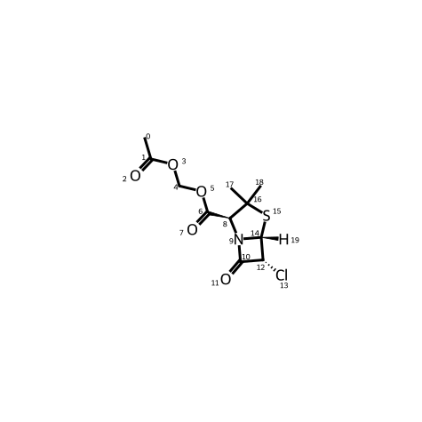 CC(=O)OCOC(=O)[C@@H]1N2C(=O)[C@@H](Cl)[C@H]2SC1(C)C